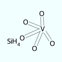 [O]=[V](=[O])(=[O])(=[O])=[O].[SiH4]